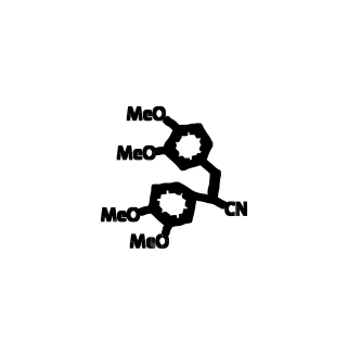 COc1ccc(C=C(C#N)c2ccc(OC)c(OC)c2)cc1OC